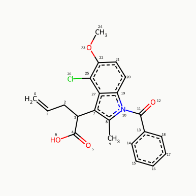 C=CCC(C(=O)O)c1c(C)n(C(=O)c2ccccc2)c2ccc(OC)c(Cl)c12